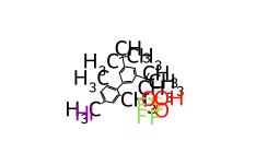 Cc1cc(C)c(-c2cc(C(C)(C)C)cc(C(C)(C)C)c2)c(C)c1.I.O=S(=O)(O)C(F)(F)F